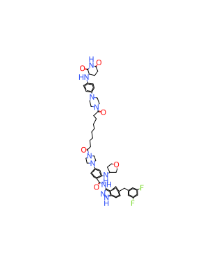 O=C1CCC(Nc2ccc(N3CCN(C(=O)CCCCCCCCC(=O)N4CCN(c5ccc(C(=O)Nc6n[nH]c7ccc(Cc8cc(F)cc(F)c8)cc67)c(NC6CCOCC6)c5)CC4)CC3)cc2)C(=O)N1